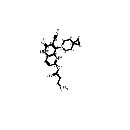 CCCC(=O)Oc1ccc2[nH]c(=O)c(C#N)c(N3CCC4(CC3)CC4)c2n1